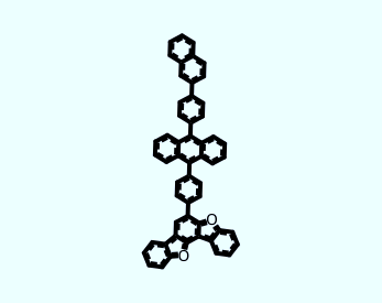 c1ccc2cc(-c3ccc(-c4c5ccccc5c(-c5ccc(-c6cc7c8ccccc8oc7c7c6oc6ccccc67)cc5)c5ccccc45)cc3)ccc2c1